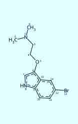 CN(C)CCOc1c[nH]c2ccc(Br)cc12